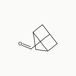 O=[C]C12C3CC1CC2C3